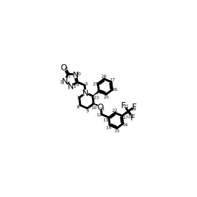 O=C1N=NC(CN2CCC[C@H](OCc3cccc(C(F)(F)F)c3)[C@@H]2c2ccccc2)=N1